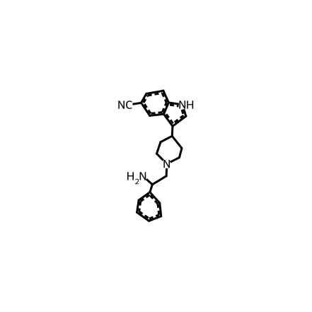 N#Cc1ccc2[nH]cc(C3CCN(CC(N)c4ccccc4)CC3)c2c1